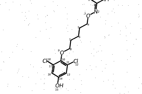 C/C(=N\OCCCCCOc1c(Cl)cc(O)cc1Cl)C(C)C